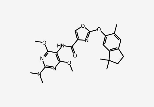 COc1nc(N(C)C)nc(OC)c1NC(=O)c1coc(Oc2cc3c(cc2C)CCC3(C)C)n1